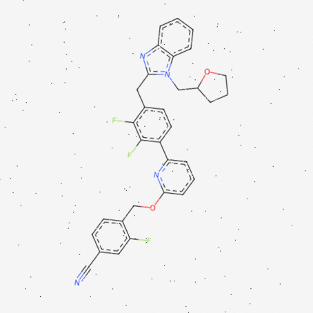 N#Cc1ccc(COc2cccc(-c3ccc(Cc4nc5ccccc5n4CC4CCCO4)c(F)c3F)n2)c(F)c1